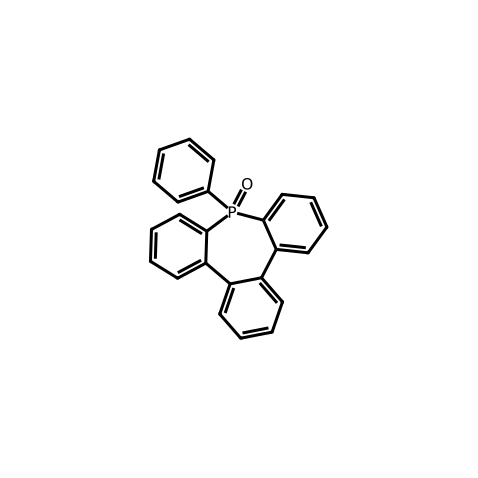 O=P1(c2ccccc2)c2ccccc2-c2ccccc2-c2ccccc21